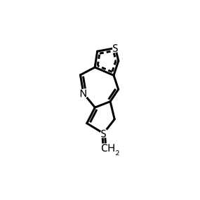 C=S1C=C2N=Cc3cscc3C=C2C1